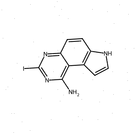 Nc1nc(I)nc2ccc3[nH]ccc3c12